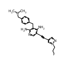 CN(C)Cc1ccc(Cc2c(N)ncc(C#Cc3cnn(CCF)c3)c2N)cc1